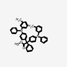 Cc1cccc(N(c2ccccc2)c2ccc(C(C(=O)OS)(c3ccccc3)c3ccc(N(c4ccccc4)c4cccc(C)c4)cc3)cc2)c1